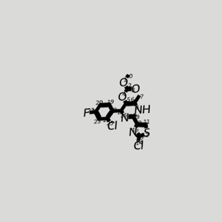 COC(=O)OC1=C(C)NC(c2csc(Cl)n2)=NC1c1ccc(F)cc1Cl